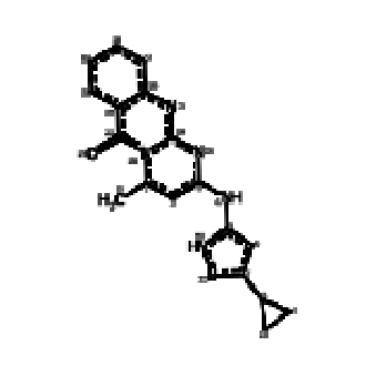 Cc1cc(Nc2cc(C3CC3)n[nH]2)nc2nc3ccccc3c(=O)n12